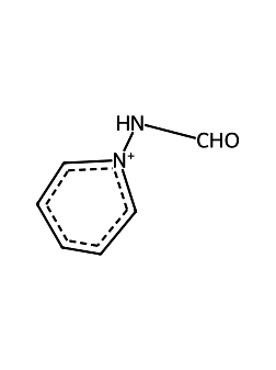 O=CN[n+]1ccccc1